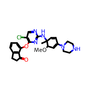 COC1C=C(N2CCNCC2)C=CC1(C)Nc1ncc(Cl)c(Oc2cccc3c2C(=O)CC3)n1